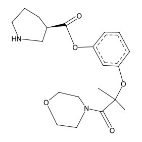 CC(C)(Oc1cccc(OC(=O)[C@@H]2CCCNC2)c1)C(=O)N1CCOCC1